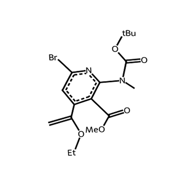 C=C(OCC)c1cc(Br)nc(N(C)C(=O)OC(C)(C)C)c1C(=O)OC